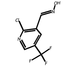 ON=Cc1cc(C(F)(F)F)cnc1Cl